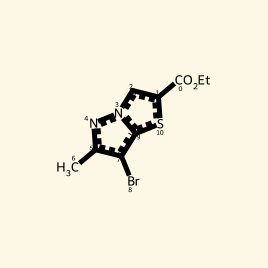 CCOC(=O)c1cn2nc(C)c(Br)c2s1